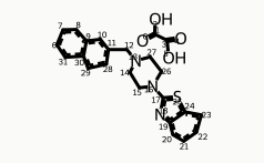 O=C(O)C(=O)O.c1ccc2cc(CN3CCN(c4nc5ccccc5s4)CC3)ccc2c1